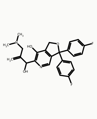 C=C(CN(C)C)C(O)c1ncc2c(c1O)COC2(c1ccc(F)cc1)c1ccc(F)cc1